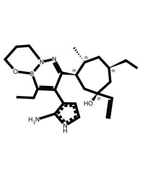 C=C[C@@]1(O)C[C@H](CC)C[C@@H](C)[C@H](C2=NN3CCCOB3C(CC)=C2c2cc[nH]c2N)C1